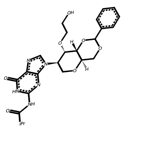 CC(C)C(=O)Nc1nc2c(ncn2[C@@H]2CO[C@@H]3COC(c4ccccc4)O[C@H]3[C@H]2OCCO)c(=O)[nH]1